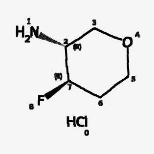 Cl.N[C@@H]1COCC[C@H]1F